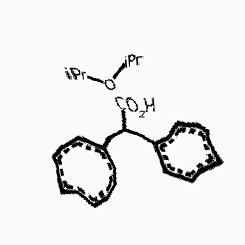 CC(C)OC(C)C.O=C(O)C(c1ccccc1)c1ccccc1